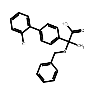 CC(SCc1ccccc1)(C(=O)O)c1ccc(-c2ccccc2Cl)cc1